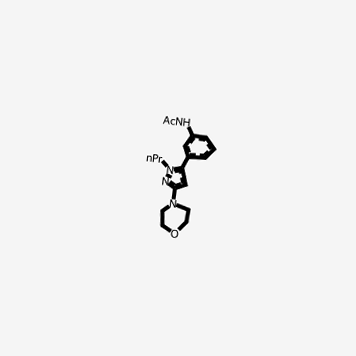 CCCn1nc(N2CCOCC2)cc1-c1cccc(NC(C)=O)c1